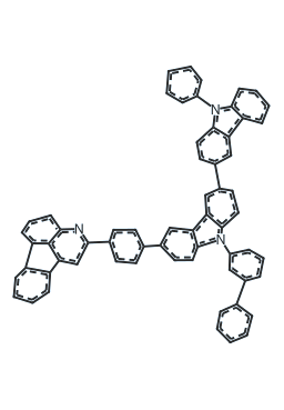 c1ccc(-c2cccc(-n3c4ccc(-c5ccc(-c6cc7c8c(cccc8n6)-c6ccccc6-7)cc5)cc4c4cc(-c5ccc6c(c5)c5ccccc5n6-c5ccccc5)ccc43)c2)cc1